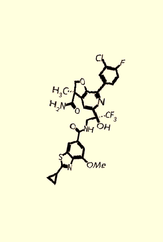 COc1cc(C(=O)NC[C@](O)(c2cc3c(c(-c4ccc(F)c(Cl)c4)n2)OC[C@]3(C)C(N)=O)C(F)(F)F)cc2sc(C3CC3)nc12